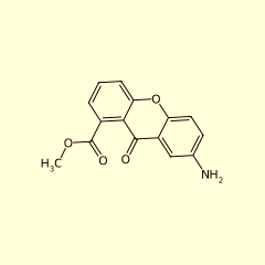 COC(=O)c1cccc2oc3ccc(N)cc3c(=O)c12